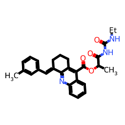 CCNC(=O)NC(=O)C(C)OC(=O)c1c2c(nc3ccccc13)/C(=C/c1cccc(C)c1)CCC2